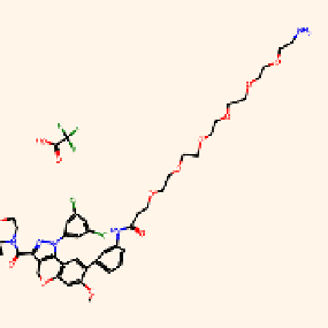 COc1cc2c(cc1-c1cccc(NC(=O)CCOCCOCCOCCOCCOCCOCCN)c1)-c1c(c(C(=O)N3CCOCC3(C)C)nn1-c1cc(Cl)cc(Cl)c1)CO2.O=C(O)C(F)(F)F